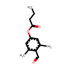 CCCC(=O)Oc1cc(C)c(C=O)c(C)c1